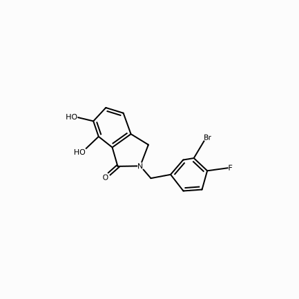 O=C1c2c(ccc(O)c2O)CN1Cc1ccc(F)c(Br)c1